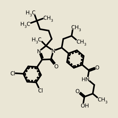 CC(C)CC(c1ccc(C(=O)NCC(C)C(=O)O)cc1)N1C(=O)C(c2cc(Cl)cc(Cl)c2)=NC1(C)CCCC(C)(C)C